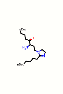 CCCCCCCCCCCCCCC1=NCCN1CCC(N)C(=O)CCCCCCCCCCCCC